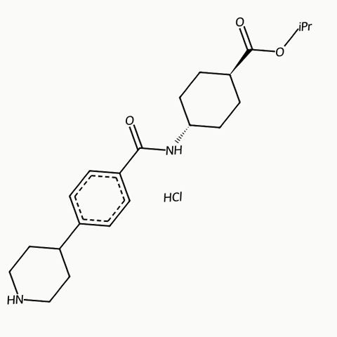 CC(C)OC(=O)[C@H]1CC[C@H](NC(=O)c2ccc(C3CCNCC3)cc2)CC1.Cl